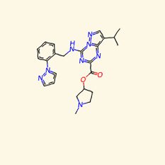 CC(C)c1cnn2c(NCc3ccccc3-n3cccn3)nc(C(=O)OC3CCN(C)C3)nc12